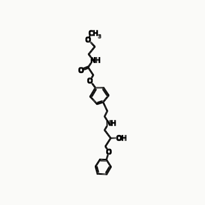 COCCNC(=O)COc1ccc(CCNCC(O)COc2ccccc2)cc1